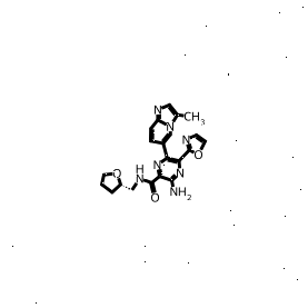 Cc1cnc2ccc(-c3nc(C(=O)NC[C@@H]4CCCO4)c(N)nc3-c3ncco3)cn12